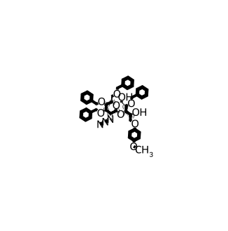 COc1ccc(OC[C@@H](O)[C@@H](O[C@@H]2O[C@H](COCc3ccccc3)[C@@H](OCc3ccccc3)[C@H](OCc3ccccc3)[C@H]2N=[N+]=[N-])[C@H](CO)OCc2ccccc2)cc1